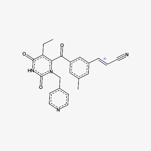 CCc1c(C(=O)c2cc(C)cc(/C=C/C#N)c2)n(Cc2ccncc2)c(=O)[nH]c1=O